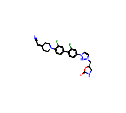 N#CC=C1CCN(c2ccc(-c3ccc(N4C=CN(C[C@H]5CNC(=O)O5)N4)cc3F)cc2F)CC1